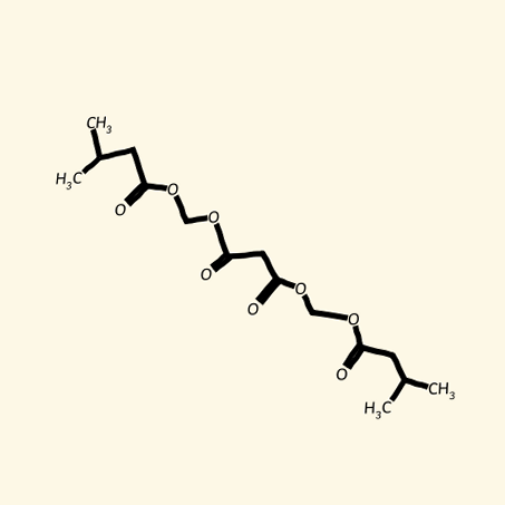 CC(C)CC(=O)OCOC(=O)CC(=O)OCOC(=O)CC(C)C